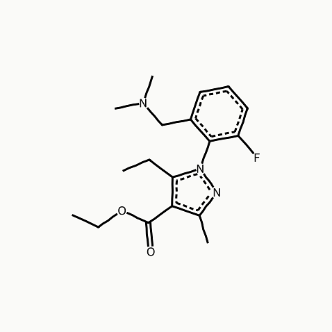 CCOC(=O)c1c(C)nn(-c2c(F)cccc2CN(C)C)c1CC